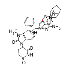 Cn1c(=O)n(C2CCC(=O)NC2=O)c2ccc(CCc3cnc(N4C5CCC4CN(c4cc(-c6ccccc6O)nnc4N)C5)nc3)cc21